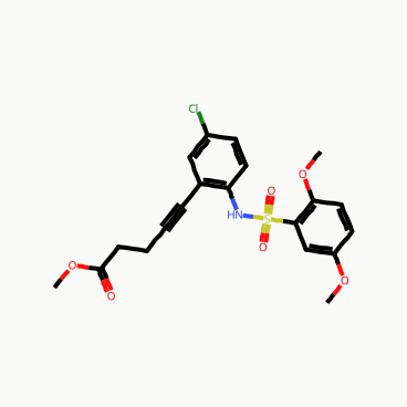 COC(=O)CCC#Cc1cc(Cl)ccc1NS(=O)(=O)c1cc(OC)ccc1OC